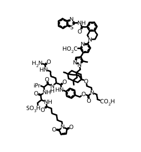 Cc1c(-c2ccc(N3CCc4cccc(C(=O)Nc5nc6ccccc6s5)c4C3)nc2C(=O)O)cnn1CC12CC3(C)CC(C)(C1)CC(OCCN(CCC(=O)O)C(=O)OCc1ccc(NC(=O)C(CCCNC(N)=O)NC(=O)C(NC(=O)C(CS(=O)(=O)O)NC(=O)CCCCCN4C(=O)C=CC4=O)C(C)C)cc1)(C3)C2